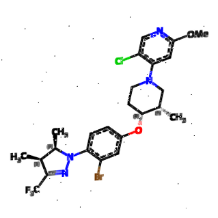 COc1cc(N2CC[C@@H](Oc3ccc(N4N=C(C(F)(F)F)[C@@H](C)[C@H]4C)c(Br)c3)[C@@H](C)C2)c(Cl)cn1